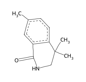 Cc1ccc2c(c1)C(=O)NCC2(C)C